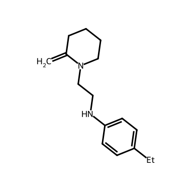 C=C1CCCCN1CCNc1ccc(CC)cc1